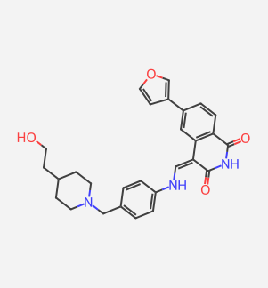 O=C1NC(=O)c2ccc(-c3ccoc3)cc2C1=CNc1ccc(CN2CCC(CCO)CC2)cc1